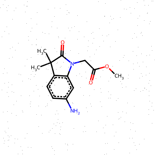 COC(=O)CN1C(=O)C(C)(C)c2ccc(N)cc21